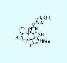 CNc1cc(F)c(C)c2c1[nH]c1nc(Oc3cnc(C)nc3)nc(NC3CCCC[C@@H]3N)c12